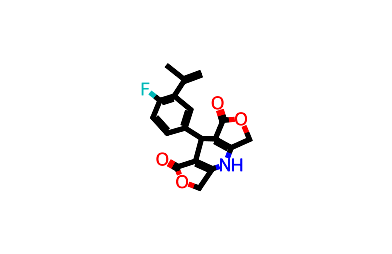 C=C(C)c1cc(C2C3=C(COC3=O)NC3=C2C(=O)OC3)ccc1F